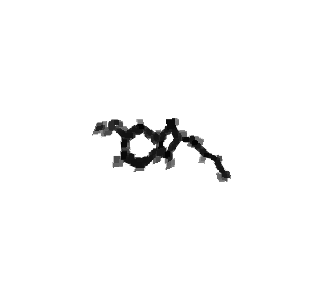 FCCSc1nc2cc(C(F)(F)F)ccc2s1